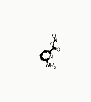 Nc1cccc(C(=O)ON=O)n1